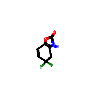 O=c1[nH]c2c(o1)C=CC(F)(F)C2